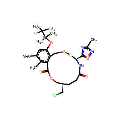 COc1cc(O[Si](C)(C)C(C)(C)C(C)C)c2c(c1C)C(=S)OC[C@H](CCl)CCC(=O)N[C@H](c1nc(C)no1)CSC2